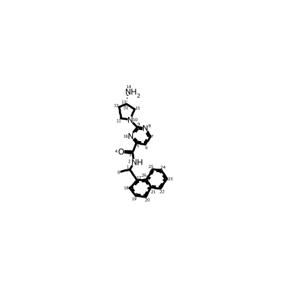 CC(NC(=O)c1ccnc(N2CC[C@H](N)C2)n1)c1cccc2ccccc12